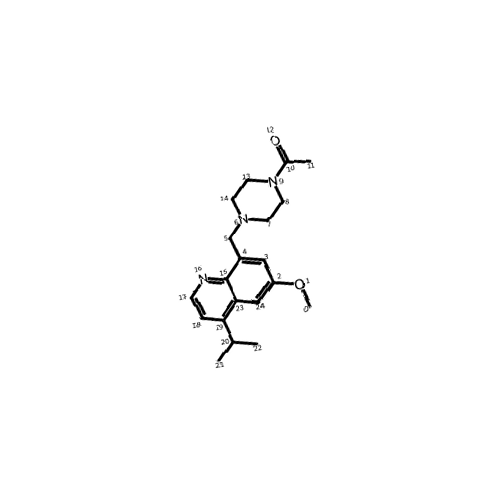 COc1cc(CN2CCN(C(C)=O)CC2)c2nccc(C(C)C)c2c1